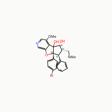 CNC[C@H]1[C@@H](O)C2(O)c3c(OC)cncc3O[C@@]2(c2ccc(Br)cc2)[C@@H]1c1ccccc1